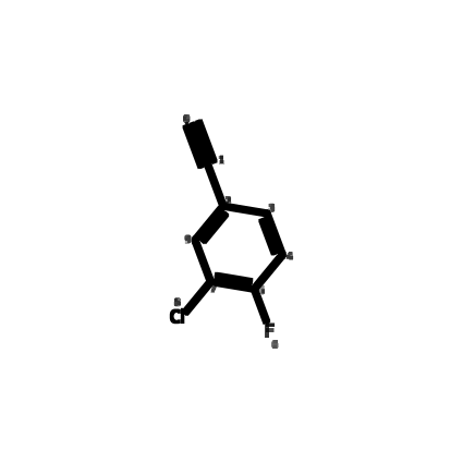 [C]#Cc1ccc(F)c(Cl)c1